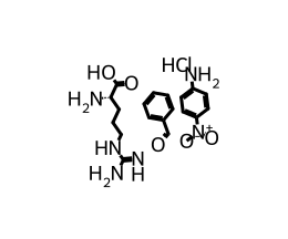 Cl.N=C(N)NCCC[C@H](N)C(=O)O.Nc1ccc([N+](=O)[O-])cc1.O=Cc1ccccc1